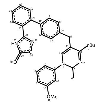 CCCCC1=NC(C)N(c2cccc(OC)c2)C=C1Cc1ccc(-c2ccccc2-c2noc(=O)[nH]2)cc1